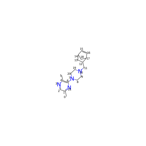 Cc1cnc(C)c(N2CCN(CC3CC4C=CC3C4)CC2)n1